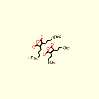 CCCCCCCCCCCCC1=C(CCCCCCCCCCCC)C(=O)OC1=O.CCCCCCCCCCCCCC1=C(CCCCCCCCCCCCC)C(=O)OC1=O